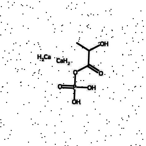 CC(O)C(=O)OP(=O)(O)O.[CaH2].[CaH2]